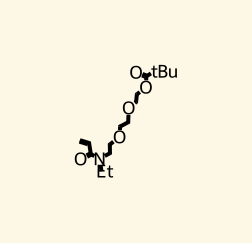 C=CC(=O)N(CC)CCOCCOCCOC(=O)C(C)(C)C